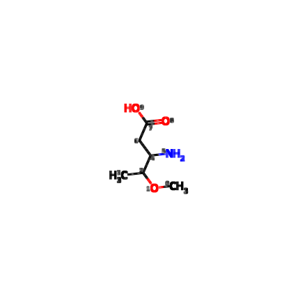 COC(C)C(N)CC(=O)O